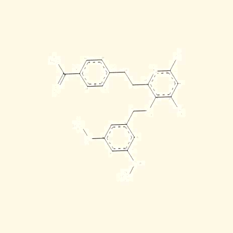 COc1cc(COc2c(Br)cc(Br)nc2CCc2ccc(C(=O)O)cc2)cc(OC)c1